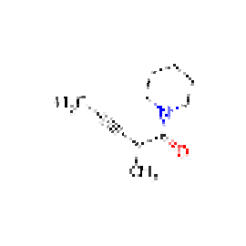 [CH2]C#CC(C)C(=O)N1CCCCC1